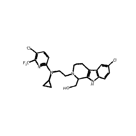 OCC1c2[nH]c3ccc(Cl)cc3c2CCN1CCN(c1ccc(Cl)c(C(F)(F)F)n1)C1CC1